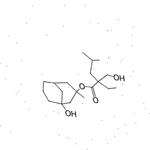 CCC(CO)(CC(C)C)C(=O)OC1(C)CC2CCCC(O)(C2)C1